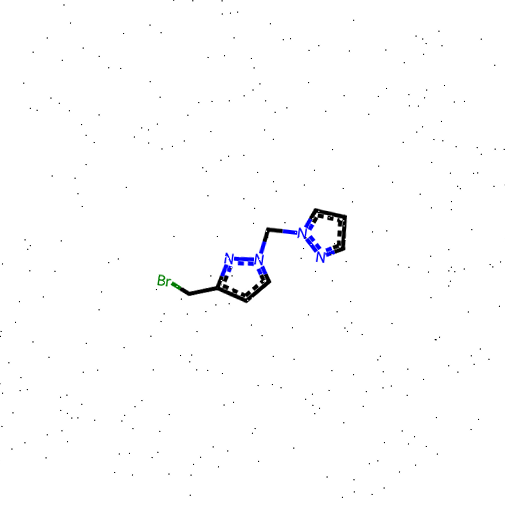 BrCc1ccn(Cn2cccn2)n1